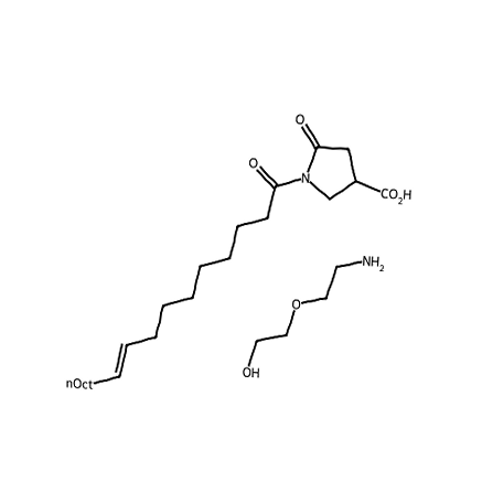 CCCCCCCCC=CCCCCCCCC(=O)N1CC(C(=O)O)CC1=O.NCCOCCO